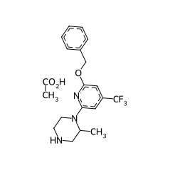 CC(=O)O.CC1CNCCN1c1cc(C(F)(F)F)cc(OCc2ccccc2)n1